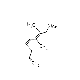 C=CC/C=C\C(C)=C(/C)CNC